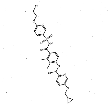 CCC(Oc1ccc(C(=O)NS(=O)(=O)c2ccc(OCCCl)cc2)c(F)c1F)c1ccc(OCC2CC2)cn1